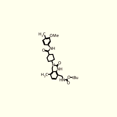 COc1cc(NC(=O)C2CCC(N3Cc4c(C)ccc(CNC(=O)OC(C)(C)C)c4NC3=O)CC2)ccc1C